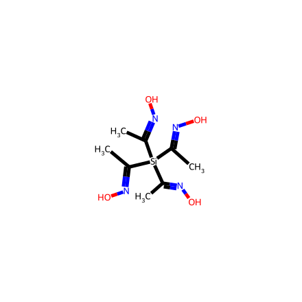 CC(=NO)[Si](C(C)=NO)(C(C)=NO)C(C)=NO